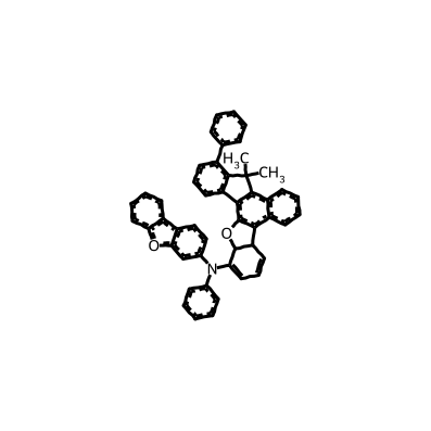 CC1(C)c2c(-c3ccccc3)cccc2-c2c3c(c4ccccc4c21)C1C=CC=C(N(c2ccccc2)c2ccc4c(c2)oc2ccccc24)C1O3